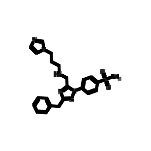 NS(=O)(=O)c1ccc(-n2nc(Cc3ccccc3)nc2CNCCCn2ccnc2)cc1